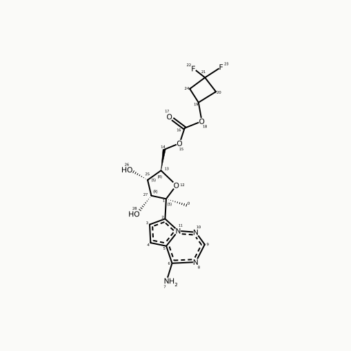 C[C@@]1(c2ccc3c(N)ncnn23)O[C@H](COC(=O)OC2CC(F)(F)C2)[C@@H](O)[C@H]1O